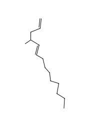 C=CCC(C)C=CCCCCCCCC